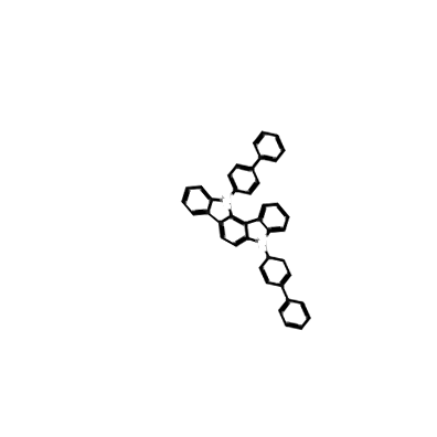 C1=CC(n2c3ccccc3c3c4c(ccc32)c2ccccc2n4-c2ccc(-c3ccccc3)cc2)CC=C1c1ccccc1